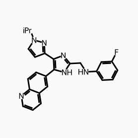 CC(C)n1ccc(-c2nc(CNc3cccc(F)c3)[nH]c2-c2ccc3ncccc3c2)n1